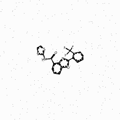 O=C(Nc1nccs1)c1cccc2oc(-c3ccccc3C(F)(F)F)nc12